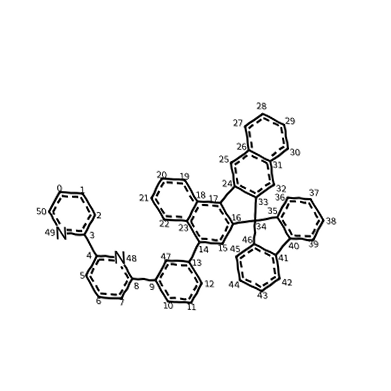 c1ccc(-c2cccc(-c3cccc(-c4cc5c(c6ccccc46)-c4cc6ccccc6cc4C54c5ccccc5-c5ccccc54)c3)n2)nc1